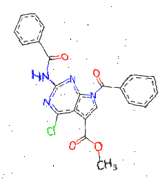 COC(=O)c1cn(C(=O)c2ccccc2)c2nc(NC(=O)c3ccccc3)nc(Cl)c12